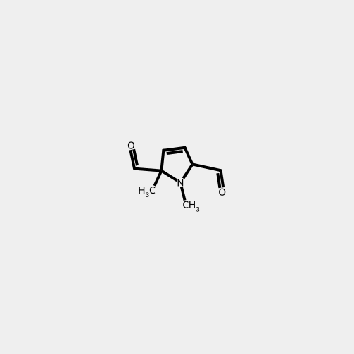 CN1C(C=O)C=CC1(C)C=O